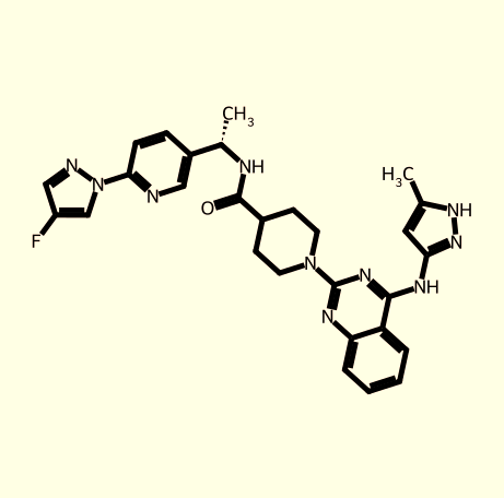 Cc1cc(Nc2nc(N3CCC(C(=O)N[C@@H](C)c4ccc(-n5cc(F)cn5)nc4)CC3)nc3ccccc23)n[nH]1